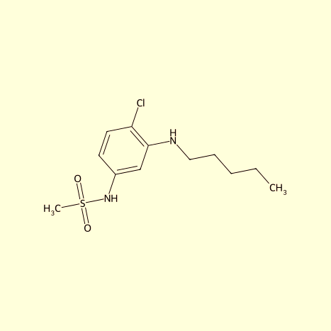 CCCCCNc1cc(NS(C)(=O)=O)ccc1Cl